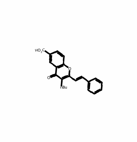 CCCCc1c(/C=C/c2ccccc2)oc2ccc(C(=O)O)cc2c1=O